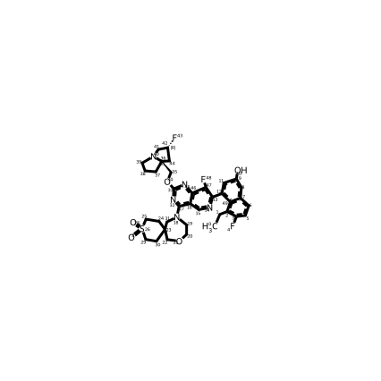 CCc1c(F)ccc2cc(O)cc(-c3ncc4c(N5CCOCC6(CCS(=O)(=O)CC6)C5)nc(OC[C@@]56CCCN5C[C@H](F)C6)nc4c3F)c12